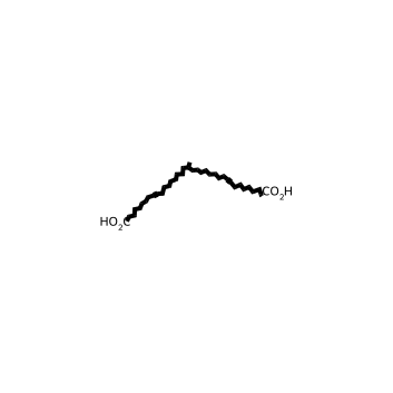 CC(CCCCCCCCC#CCCCCCCCC(=O)O)CCCCCCCCC#CCCCCCCCC(=O)O